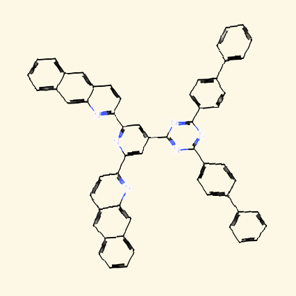 c1ccc(-c2ccc(-c3nc(-c4ccc(-c5ccccc5)cc4)nc(-c4cc(-c5ccc6cc7ccccc7cc6n5)nc(-c5ccc6cc7ccccc7cc6n5)c4)n3)cc2)cc1